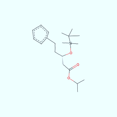 CC(C)OC(=O)C[C@H](CCc1ccccc1)O[Si](C)(C)C(C)(C)C